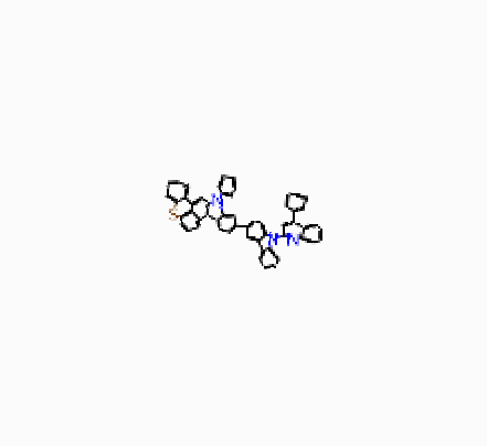 c1ccc(-c2cc(-n3c4ccccc4c4cc(-c5ccc6c7c8cccc9c8c(cc7n(-c7ccccc7)c6c5)-c5ccccc5S9)ccc43)nc3ccccc23)cc1